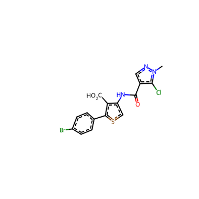 Cn1ncc(C(=O)Nc2csc(-c3ccc(Br)cc3)c2C(=O)O)c1Cl